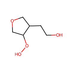 OCCC1COCC1OO